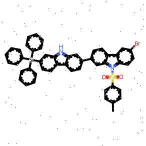 Cc1ccc(S(=O)(=O)n2c3ccc(Br)cc3c3ccc(-c4ccc5c(c4)[nH]c4cc([Si](c6ccccc6)(c6ccccc6)c6ccccc6)ccc45)cc32)cc1